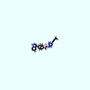 CC(C(=O)Nc1ccc(C#CC2CC2)nc1)[C@H]1C[C@H]2CC(c3ccnc4ccc(F)cc34)C[C@H]2C1